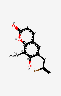 C=C(Br)Cc1cc2ccc(=O)oc2c(OC)c1O